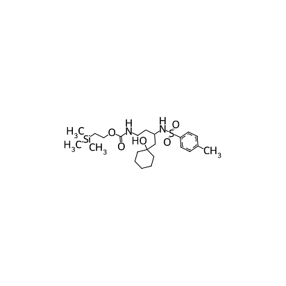 Cc1ccc(S(=O)(=O)NC(CCNC(=O)OCC[Si](C)(C)C)CC2(O)CCCCC2)cc1